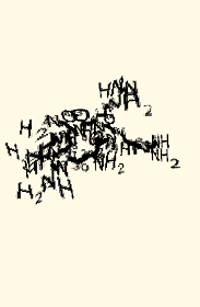 CN(C(=O)[C@H](CCCNC(=N)N)NC(=O)[C@H](CCCNC(=N)N)N(C)C(=O)[C@@H](N)CCCNC(=N)N)[C@@H](CCCNC(=N)N)C(N)=O